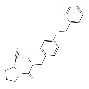 N#C[C@@H]1CCCN1C(=O)[C@@H](N)Cc1ccc(OCc2ccccn2)cc1